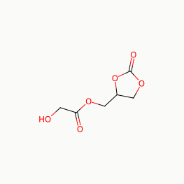 O=C(CO)OCC1COC(=O)O1